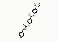 COC(=O)c1ccc(NC(=O)c2ccc(NC(=O)NCc3ccncc3)cc2)cc1